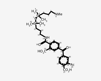 CNCCC[Si](C)(C)O[Si](C)(C)CCCNC(=O)c1ccc(C(=O)c2ccc(C(=O)O)c(C(C)=O)c2)cc1C(=O)O